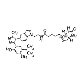 CC(C)c1cc(C2=NN=C(O)C2c2ccc3c(ccn3CCNC(=O)CCCC[C@@H]3SC[C@H]4NC(=O)N[C@@H]34)c2)c(O)cc1O